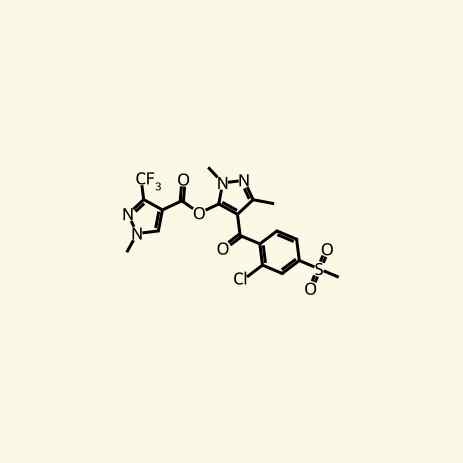 Cc1nn(C)c(OC(=O)c2cn(C)nc2C(F)(F)F)c1C(=O)c1ccc(S(C)(=O)=O)cc1Cl